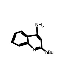 CCCCc1cc(N)c2ccccc2n1